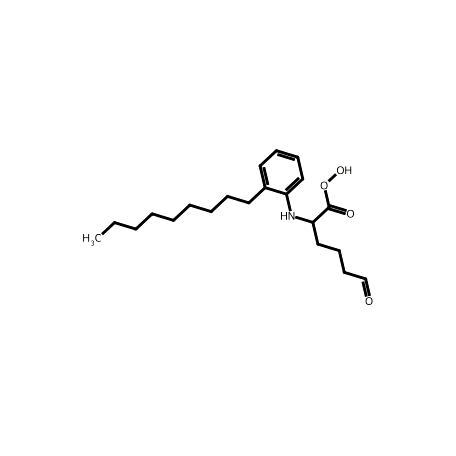 CCCCCCCCCc1ccccc1NC(CCCC=O)C(=O)OO